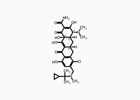 CN(C)[C@@H]1C(O)=C(C(N)=O)C(=O)[C@@]2(O)C(O)=C3C(=O)c4c(O)cc(CN(C)C(C)(C)C5CC5)c(Cl)c4C[C@H]3C[C@@H]12